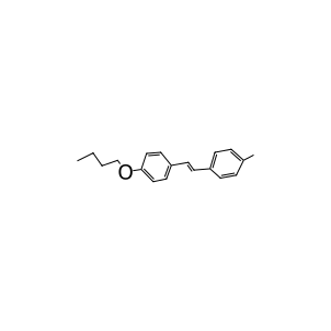 CCCCOc1ccc(/C=C/c2ccc(C)cc2)cc1